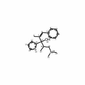 CC(=Cc1ccccc1)C(O)(c1cccs1)C(C)CN(C)C